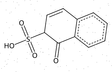 O=C1c2ccccc2C=CC1S(=O)(=O)O